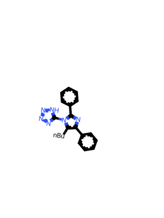 CCCCc1c(-c2ccccc2)nc(-c2ccccc2)n1-c1nnn[nH]1